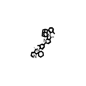 Cc1cc(-c2ccc3c(n2)C2(C4CC5CC(C4)CC2C5)N(c2ccccc2C)[C@H]3C)ccc1N1[C@@H](C)c2cccnc2C12CCCCC2